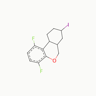 Fc1ccc(F)c2c1OCC1CC(I)CCC21